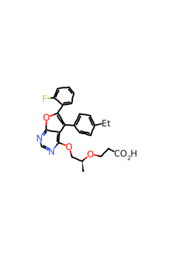 CCc1ccc(-c2c(-c3ccccc3F)oc3ncnc(OC[C@H](C)OCCC(=O)O)c23)cc1